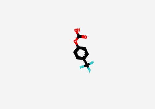 O=C(O)Oc1ccc(C(F)(F)F)cc1